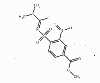 COC(=O)c1ccc(S(=O)(=O)N=C(Cl)N(C)C)c([N+](=O)[O-])c1